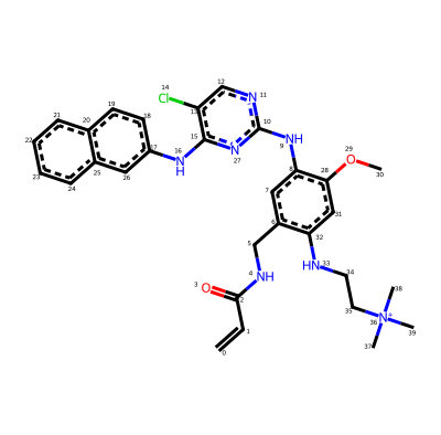 C=CC(=O)NCc1cc(Nc2ncc(Cl)c(Nc3ccc4ccccc4c3)n2)c(OC)cc1NCC[N+](C)(C)C